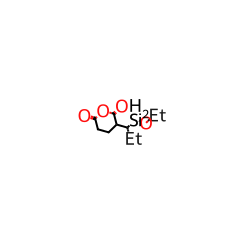 CCO[SiH2]C(CC)C1CCC(=O)OC1=O